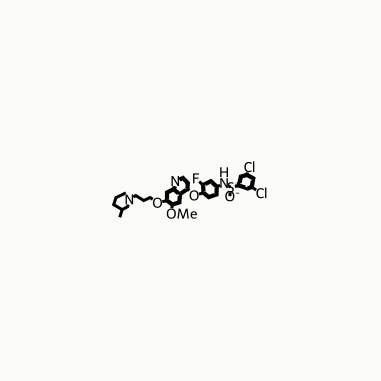 COc1cc2c(Oc3ccc(N[S+]([O-])c4cc(Cl)cc(Cl)c4)cc3F)ccnc2cc1OCCCN1CCCC(C)C1